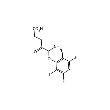 NC(Oc1c(F)c(F)cc(F)c1F)C(=O)CCC(=O)O